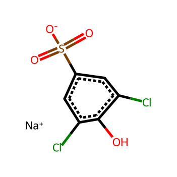 O=S(=O)([O-])c1cc(Cl)c(O)c(Cl)c1.[Na+]